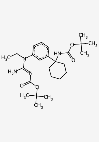 CCN(C(N)=NC(=O)OC(C)(C)C)c1cccc(C2(NC(=O)OC(C)(C)C)CCCCC2)c1